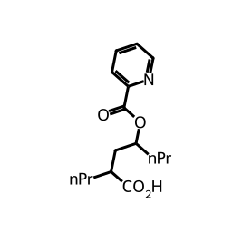 CCCC(CC(CCC)C(=O)O)OC(=O)c1ccccn1